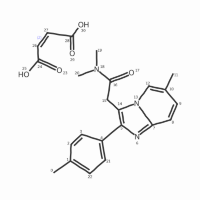 Cc1ccc(-c2nc3ccc(C)cn3c2CC(=O)N(C)C)cc1.O=C(O)/C=C\C(=O)O